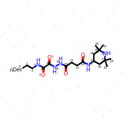 CCCCCCCCCCCCNC(=O)C(=O)NNC(=O)CCC(=O)NC1CC(C)(C)NC(C)(C)C1